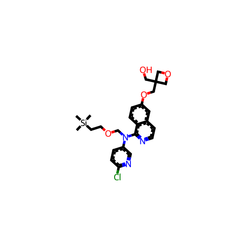 C[Si](C)(C)CCOCN(c1ccc(Cl)nc1)c1nccc2cc(OCC3(CO)COC3)ccc12